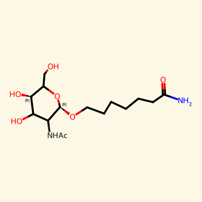 CC(=O)NC1C(O)[C@@H](O)C(CO)O[C@H]1OCCCCCCC(N)=O